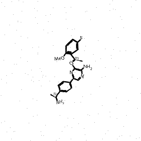 COc1ccc(F)cc1[C@@H](C)Oc1nc(-c2ccc([C@H](C)N)cc2)cnc1N